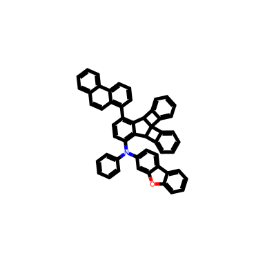 c1ccc(N(c2ccc3c(c2)oc2ccccc23)c2ccc(-c3cccc4c3ccc3ccccc34)c3c2C2c4ccccc4C24c2ccccc2C34)cc1